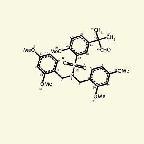 COc1ccc(CN(Cc2ccc(OC)cc2OC)S(=O)(=O)c2cc(C(C)(C)C=O)ccc2OC)c(OC)c1